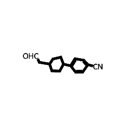 N#Cc1ccc(C2CCC(CC=O)CC2)cc1